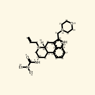 C=CCN1C[C@@H](NC(=O)N(CC)CC)CC2c3cccc4[nH]c(CN5CCOCC5)c(c34)C[C@H]21